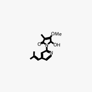 COC1=C(C)C(=O)N(c2cc(C=C(C)C)ccn2)C1O